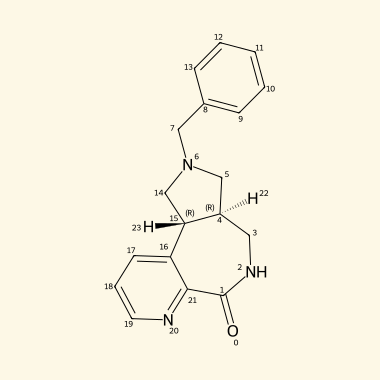 O=C1NC[C@@H]2CN(Cc3ccccc3)C[C@H]2c2cccnc21